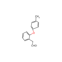 Cc1ccc(Oc2ccccc2C[C]=O)cc1